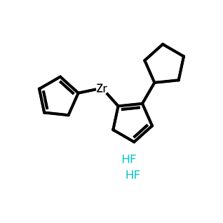 C1=CC[C]([Zr][C]2=C(C3CCCC3)C=CC2)=C1.F.F